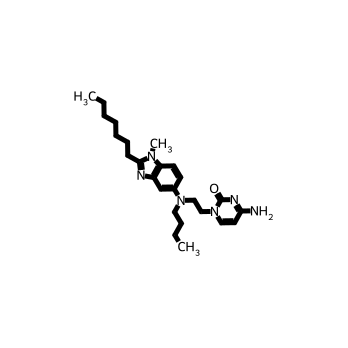 CCCCCCCc1nc2cc(N(CCCC)CCn3ccc(N)nc3=O)ccc2n1C